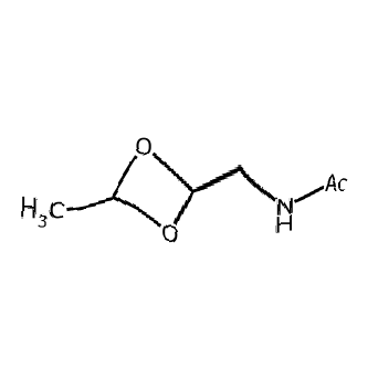 CC(=O)NCC1OC(C)O1